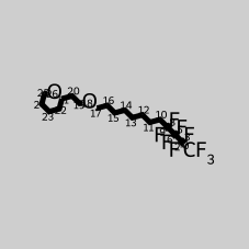 FC(F)(F)C(F)(F)C(F)(F)C(F)(F)CCCCCCCCOCCC1CCCCO1